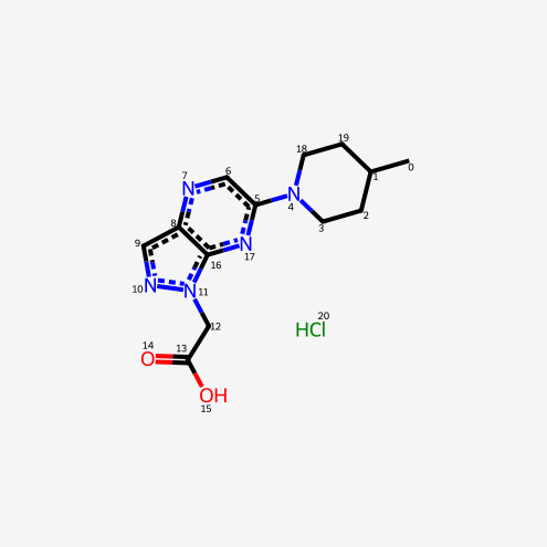 CC1CCN(c2cnc3cnn(CC(=O)O)c3n2)CC1.Cl